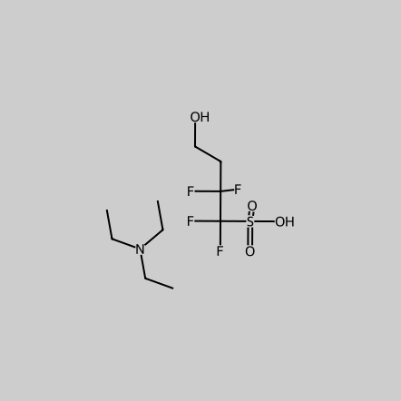 CCN(CC)CC.O=S(=O)(O)C(F)(F)C(F)(F)CCO